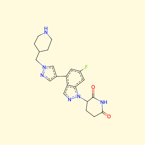 O=C1CCC(n2ncc3c(-c4cnn(CC5CCNCC5)c4)cc(F)cc32)C(=O)N1